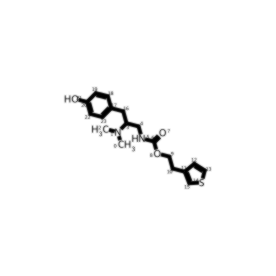 CN(C)C(CNC(=O)OCCc1ccsc1)Cc1ccc(O)cc1